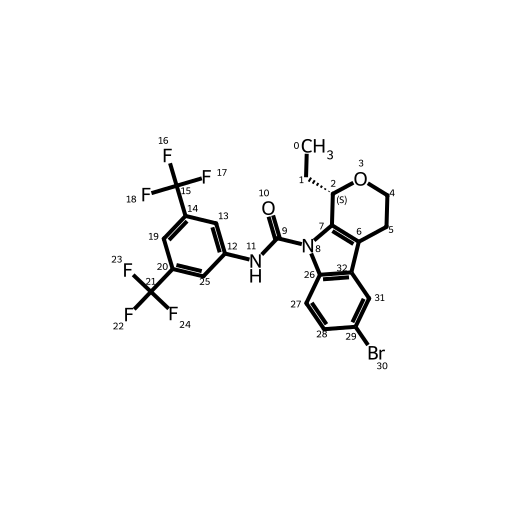 CC[C@@H]1OCCc2c1n(C(=O)Nc1cc(C(F)(F)F)cc(C(F)(F)F)c1)c1ccc(Br)cc21